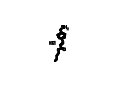 CCCCOC(=O)C=Cc1ccc(CN)cc1.Cl